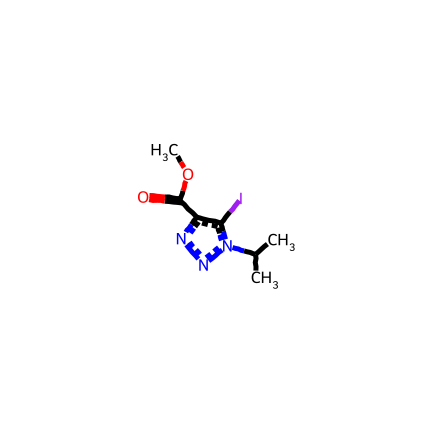 COC(=O)c1nnn(C(C)C)c1I